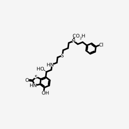 O=C(O)N(CCCSCCNC[C@@H](O)c1ccc(O)c2[nH]c(=O)sc12)CCc1cccc(Cl)c1